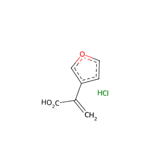 C=C(C(=O)O)c1ccoc1.Cl